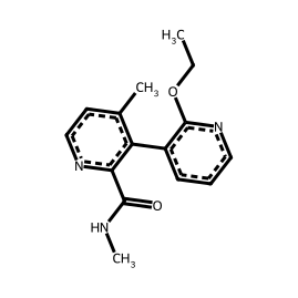 CCOc1ncccc1-c1c(C)ccnc1C(=O)NC